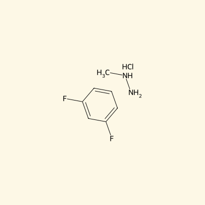 CNN.Cl.Fc1cccc(F)c1